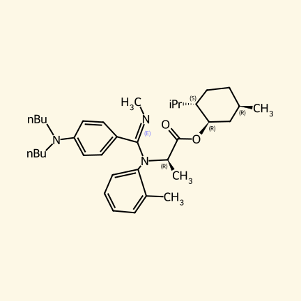 CCCCN(CCCC)c1ccc(/C(=N\C)N(c2ccccc2C)[C@H](C)C(=O)O[C@@H]2C[C@H](C)CC[C@H]2C(C)C)cc1